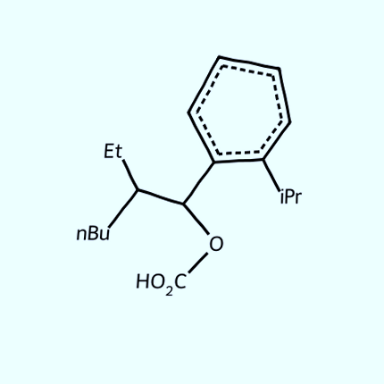 CCCCC(CC)C(OC(=O)O)c1ccccc1C(C)C